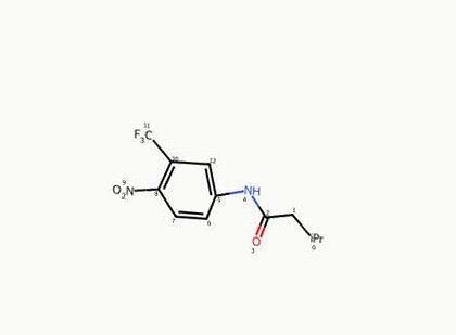 CC(C)CC(=O)Nc1ccc([N+](=O)[O-])c(C(F)(F)F)c1